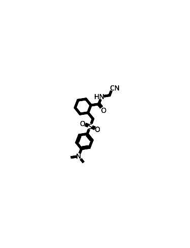 CN(C)c1ccc(S(=O)(=O)CC2CCCCC2C(=O)NCC#N)cc1